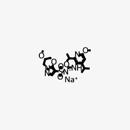 COc1cc(C(C)C)c(NC(=O)[N-]S(=O)(=O)c2cnn3c2OC[C@@H](OC)C3)c(C(C)C)n1.[Na+]